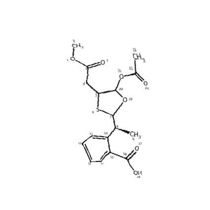 COC(=O)CC1SC([C@@H](C)c2ccccc2C(=O)O)OC1OC(C)=O